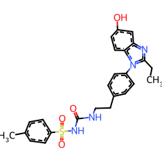 CCc1nc2cc(O)ccc2n1-c1ccc(CCNC(=O)NS(=O)(=O)c2ccc(C)cc2)cc1